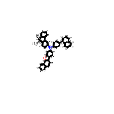 CC1(C)c2ccccc2-c2cc(N(c3ccc(-c4cccc5ccccc45)cc3)c3ccc4c(c3)oc3c5ccccc5ccc43)ccc21